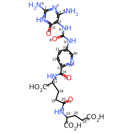 Nc1nc(N)c(NC(=O)Nc2ccc(C(=O)NC(CCC(=O)NC(CCC(=O)O)C(=O)O)C(=O)O)nc2)c(=O)[nH]1